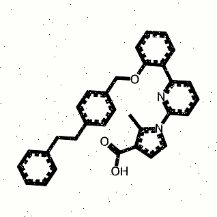 Cc1c(C(=O)O)ccn1-c1cccc(-c2ccccc2OCc2ccc(CCc3ccccc3)cc2)n1